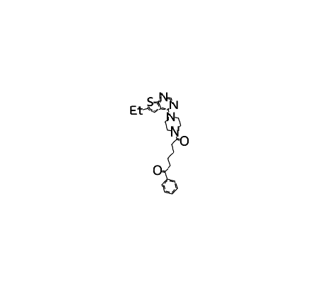 CCc1cc2c(N3CCN(C(=O)CCCCC(=O)c4ccccc4)CC3)ncnc2s1